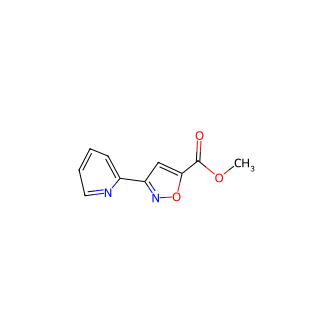 COC(=O)c1cc(-c2ccccn2)no1